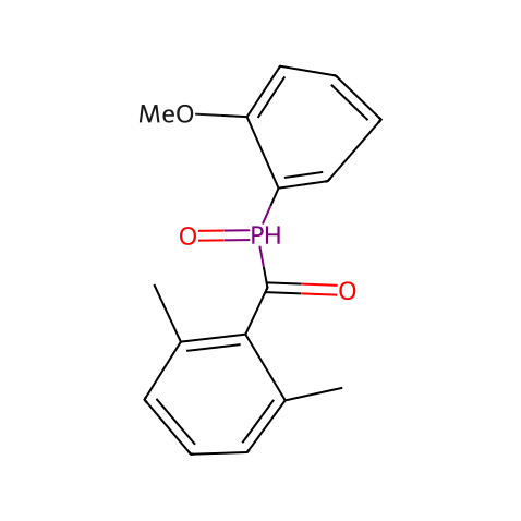 COc1ccccc1[PH](=O)C(=O)c1c(C)cccc1C